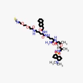 CC(CNS(=O)(=O)c1cccc2c(N(C)C)cccc12)COC(C)(C)CC(=O)NC(CCCCNC(=O)C(CCCCNC(=O)CCOCCOCCN=C=S)NC(=O)Cc1ccc2ccccc2c1)C(N)=O